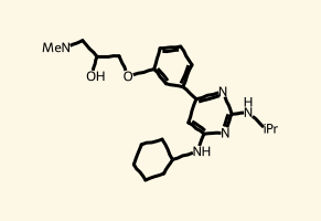 CNCC(O)COc1cccc(-c2cc(NC3CCCCC3)nc(NC(C)C)n2)c1